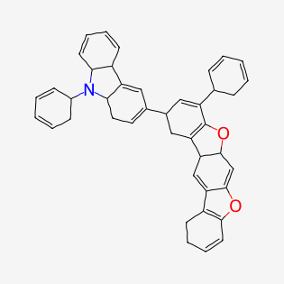 C1=CCC(C2=CC(C3=CCC4C(=C3)C3C=CC=CC3N4C3C=CC=CC3)CC3=C2OC2C=c4oc5c(c4=CC32)CCC=C5)C=C1